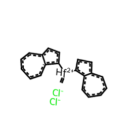 [CH2]=[Hf+2]([c]1ccc2cccccc1-2)[c]1ccc2cccccc1-2.[Cl-].[Cl-]